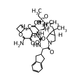 C=C(C)[C@@H](CN(C)S(=O)(=O)CC)NC(=O)N[C@H](C(=O)N1C[C@H]2[C@@H]([C@H]1C(=O)NC(CC1CCC1)C(=O)C(N)=O)C2(C)C)C1Cc2ccccc2C1